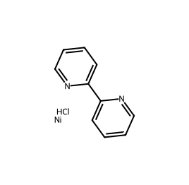 Cl.[Ni].c1ccc(-c2ccccn2)nc1